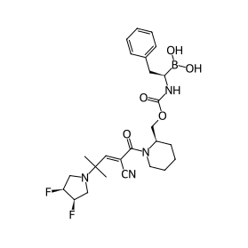 CC(C)(/C=C(\C#N)C(=O)N1CCCC[C@@H]1COC(=O)N[C@@H](Cc1ccccc1)B(O)O)N1C[C@@H](F)[C@@H](F)C1